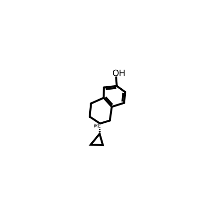 Oc1ccc2c(c1)CC[C@@H](C1CC1)C2